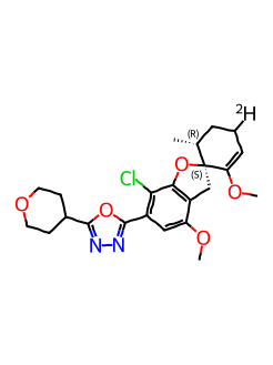 [2H]C1C=C(OC)[C@]2(Cc3c(OC)cc(-c4nnc(C5CCOCC5)o4)c(Cl)c3O2)[C@H](C)C1